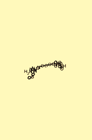 Nc1ncnc2c1c(-c1ccc(Oc3ccccc3)cc1)nn2C1CCN(CCOCCOCCOCCOc2cccc3c2C(=O)N(C2CCC(=O)NC2=O)C3=O)CC1